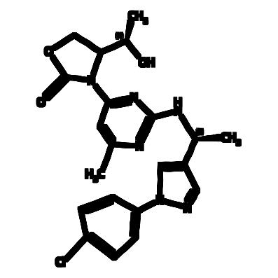 Cc1cc(N2C(=O)OCC2[C@@H](C)O)nc(N[C@@H](C)c2cnn(-c3ccc(Cl)cc3)c2)n1